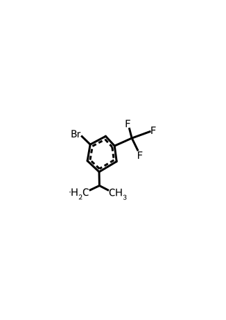 [CH2]C(C)c1cc(Br)cc(C(F)(F)F)c1